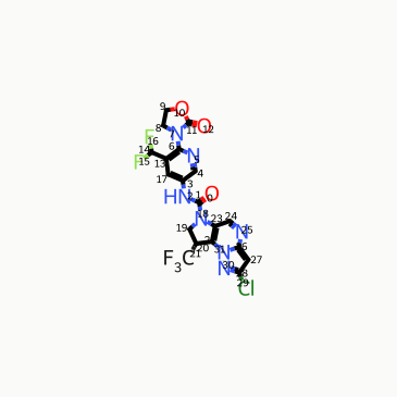 O=C(Nc1cnc(N2CCOC2=O)c(C(F)F)c1)N1CC(C(F)(F)F)c2c1cnc1cc(Cl)nn21